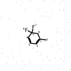 CC1=CC=CC(F)(F)C1